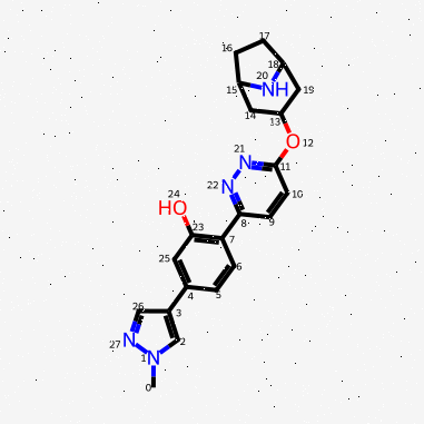 Cn1cc(-c2ccc(-c3ccc(OC4CC5CCC(C4)N5)nn3)c(O)c2)cn1